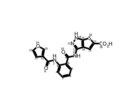 O=C(Nc1ccccc1C(=O)Nc1n[nH]c2sc(C(=O)O)cc12)c1ccoc1